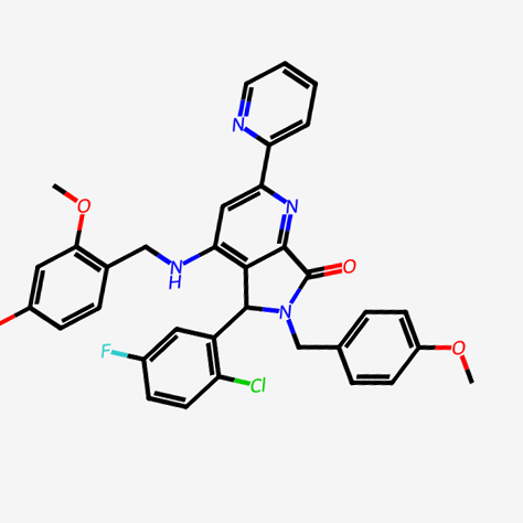 COc1ccc(CN2C(=O)c3nc(-c4ccccn4)cc(NCc4ccc(OC)cc4OC)c3C2c2cc(F)ccc2Cl)cc1